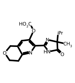 CC(C)C1(C)N=C(c2nc3c(cc2OC(=O)O)COCC3)NC1=O